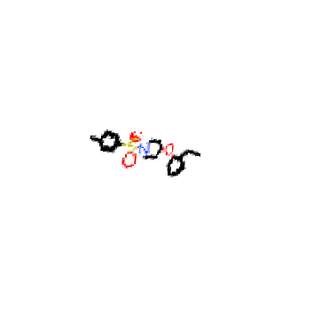 CCc1ccccc1OC1CCN(S(=O)(=O)c2ccc(C)cc2)CC1